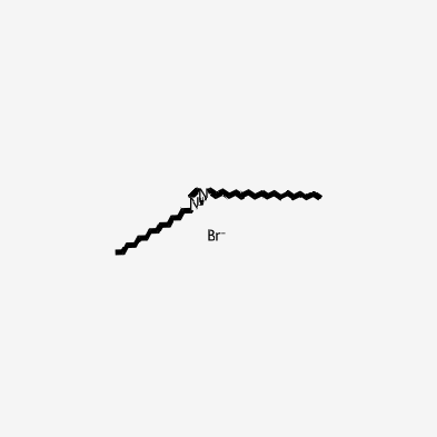 CCCCCCCCCCCCCCCCCCn1cc[n+](CCCCCCCCCCCCCC)c1.[Br-]